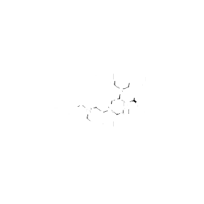 O=C(O)CN(CCN(CC(=O)O)CC(NC(=O)I)N(CC(=O)O)CC(=O)O)CC(=O)O